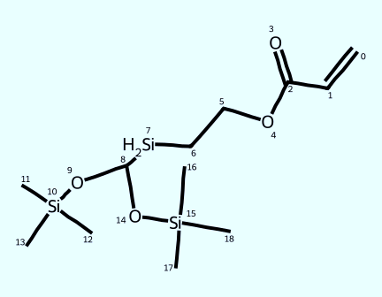 C=CC(=O)OCC[SiH2]C(O[Si](C)(C)C)O[Si](C)(C)C